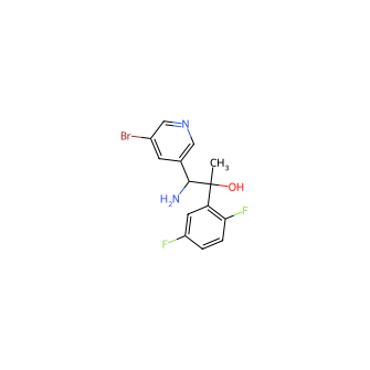 CC(O)(c1cc(F)ccc1F)C(N)c1cncc(Br)c1